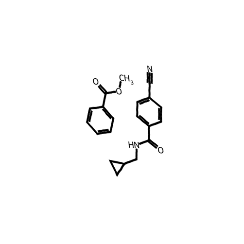 COC(=O)c1ccccc1.N#Cc1ccc(C(=O)NCC2CC2)cc1